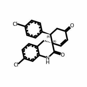 O=C1C=C[C@]2(Cc3ccc(Cl)cc3NC2=O)[C@@H](c2ccc(Cl)cc2)C1